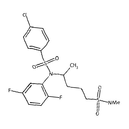 CNS(=O)(=O)CCCC(C)N(c1cc(F)ccc1F)S(=O)(=O)c1ccc(Cl)cc1